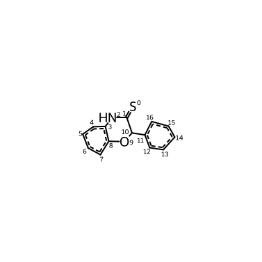 S=C1Nc2ccccc2OC1c1ccccc1